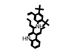 C=Cc1cc(NC(=CCC)C2=CNc3ccccc3/C2=C/CC)c(C(C)(C)C)cc1C(C)(C)C